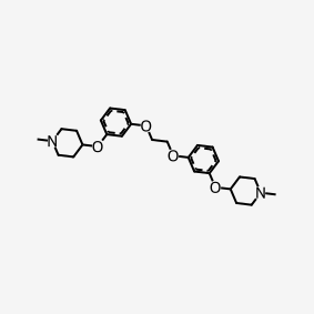 CN1CCC(Oc2cccc(OCCOc3cccc(OC4CCN(C)CC4)c3)c2)CC1